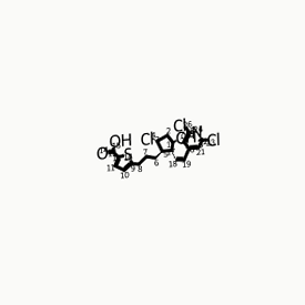 C[C@@H]1C[C@@H](Cl)[C@H](CCCc2ccc(C(=O)O)s2)[C@H]1/C=C\c1cc(Cl)nc(Cl)c1